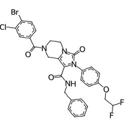 O=C(NCc1ccccc1)c1c2n(c(=O)n1-c1ccc(OCC(F)F)cc1)CCN(C(=O)c1ccc(Br)c(Cl)c1)C2